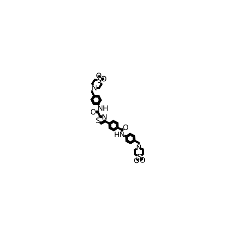 O=C(Nc1ccc(CN2CCS(=O)(=O)CC2)cc1)c1ccc(-c2csc(C(=O)Nc3ccc(CN4CCS(=O)(=O)CC4)cc3)n2)cc1